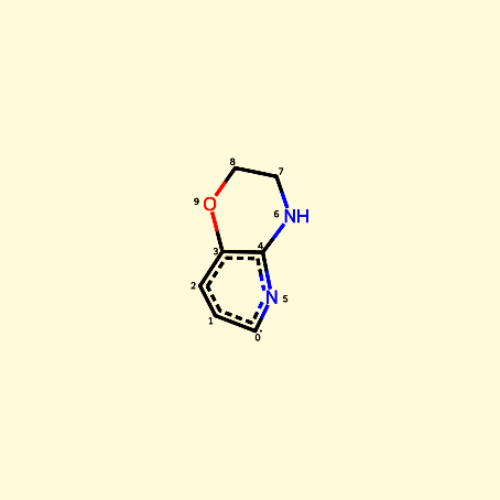 [c]1ccc2c(n1)NCCO2